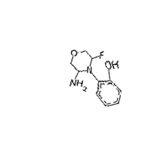 NC1COCC(F)N1c1ccccc1O